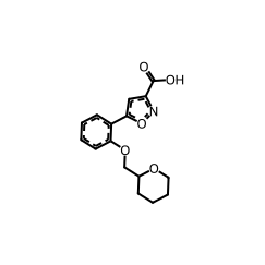 O=C(O)c1cc(-c2ccccc2OCC2CCCCO2)on1